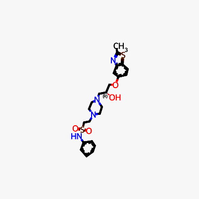 Cc1nc2cc(OC[C@H](O)CN3CCN(CCS(=O)(=O)Nc4ccccc4)CC3)ccc2s1